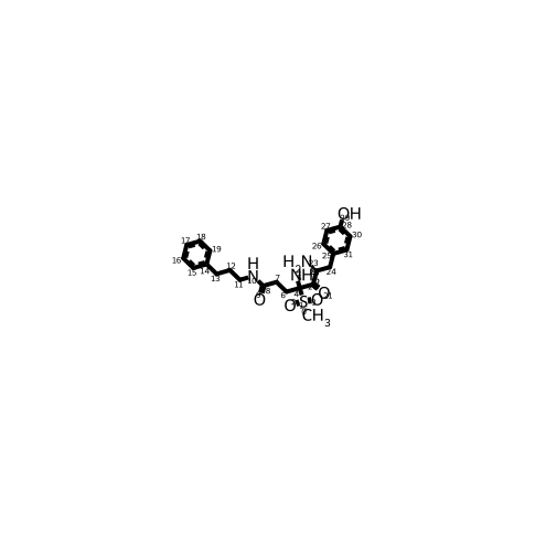 CS(=O)(=O)C(N)(CCC(=O)NCCCc1ccccc1)C(=O)[C@@H](N)Cc1ccc(O)cc1